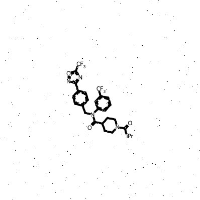 CC(C)C(=O)N1CCC(C(=O)N(Cc2ccc(-c3noc(C(F)(F)F)n3)cc2)c2cccc(C(F)(F)F)c2)CC1